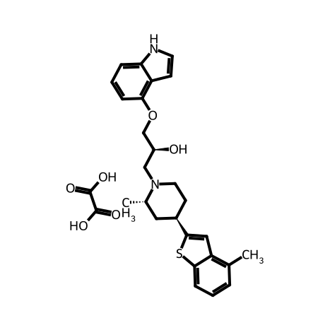 Cc1cccc2sc([C@@H]3CCN(C[C@H](O)COc4cccc5[nH]ccc45)[C@@H](C)C3)cc12.O=C(O)C(=O)O